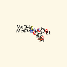 CCOc1ccc(OC(C(=O)Nc2nc3cc(OC)c(OC)cc3s2)c2ccc(S(=O)(=O)CC)cc2)cc1